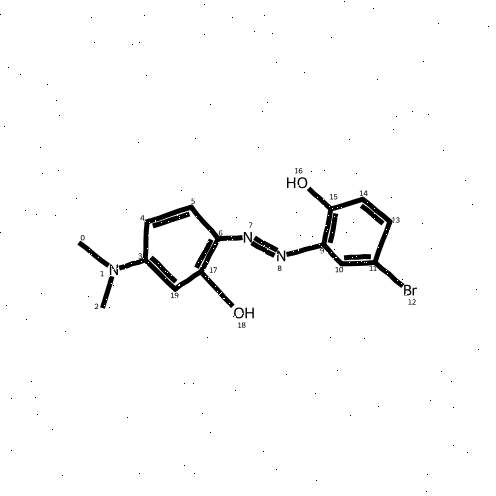 CN(C)c1ccc(N=Nc2cc(Br)ccc2O)c(O)c1